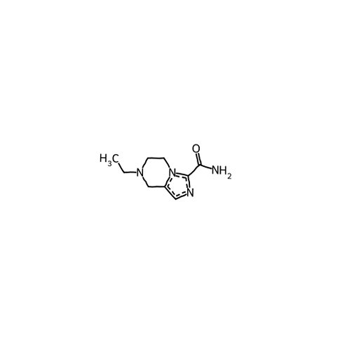 CCN1CCn2c(cnc2C(N)=O)C1